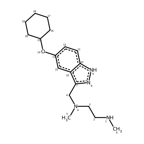 CNCCN(C)Cc1n[nH]c2ccc(OC3CCCCC3)cc12